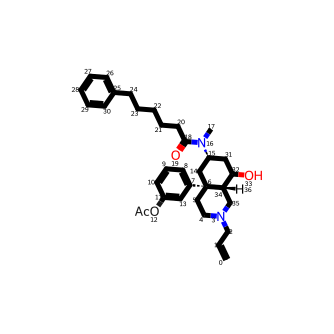 C=CCN1CC[C@@]2(c3cccc(OC(C)=O)c3)C[C@H](N(C)C(=O)CCCCCc3ccccc3)CC(O)[C@@H]2C1